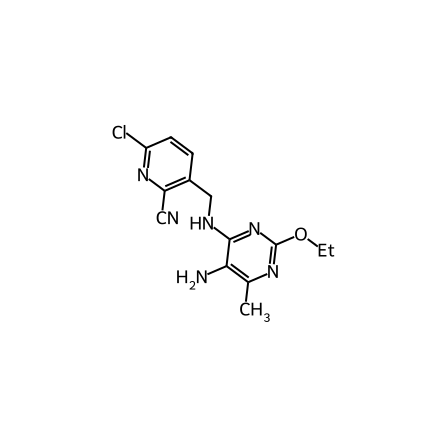 CCOc1nc(C)c(N)c(NCc2ccc(Cl)nc2C#N)n1